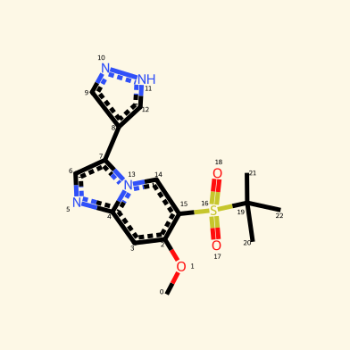 COc1cc2ncc(-c3cn[nH]c3)n2cc1S(=O)(=O)C(C)(C)C